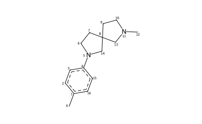 Cc1ccc(N2CCC3(CCN(C)C3)C2)cc1